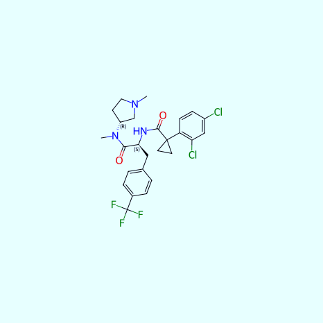 CN1CC[C@@H](N(C)C(=O)[C@H](Cc2ccc(C(F)(F)F)cc2)NC(=O)C2(c3ccc(Cl)cc3Cl)CC2)C1